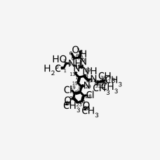 C=CC(O)N[C@H]1COC[C@H]1Nc1ncc2cc(-c3c(Cl)c(OC)cc(OC)c3Cl)nc(N[C@H](C)C(C)(C)C)c2n1